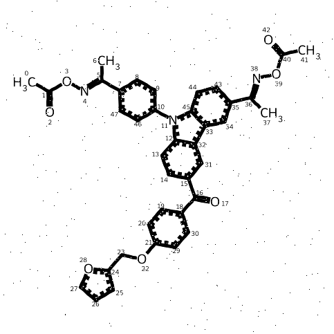 CC(=O)ON=C(C)c1ccc(-n2c3ccc(C(=O)c4ccc(OCc5ccco5)cc4)cc3c3cc(/C(C)=N/OC(C)=O)ccc32)cc1